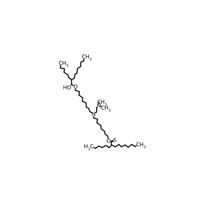 CCCCCCCCC(CCCCCC)C(=S)OCCCCCCCCN(CCCCCCCCCOC(O)C(CCCCCC)CCCCCCCC)CCN(C)C